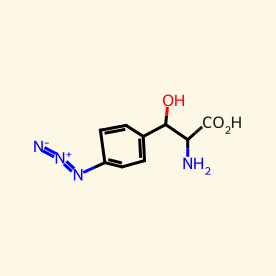 [N-]=[N+]=Nc1ccc(C(O)C(N)C(=O)O)cc1